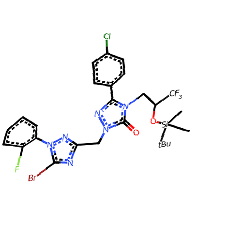 CC(C)(C)[Si](C)(C)OC(Cn1c(-c2ccc(Cl)cc2)nn(Cc2nc(Br)n(-c3ccccc3F)n2)c1=O)C(F)(F)F